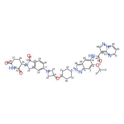 CC(C)Oc1cc2nn([C@H]3CC[C@H](OC4CN(c5ccc6c(c5)CN(C5CCC(=O)NC5=O)C6=O)C4)CC3)cc2cc1NC(=O)c1cnn2cccnc12